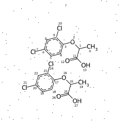 CC(Oc1ccc(Cl)cc1Cl)C(=O)O.CC(Oc1ccc(Cl)cc1Cl)C(=O)O